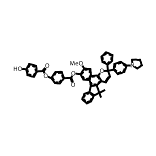 COc1cc2c3c(c4c(c2cc1OC(=O)c1ccc(OC(=O)c2ccc(O)cc2)cc1)-c1ccccc1C4(C)C)C=CC(c1ccccc1)(c1ccc(N2CCCC2)cc1)O3